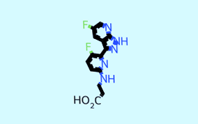 O=C(O)CCNc1ccc(F)c(-c2n[nH]c3ncc(F)cc23)n1